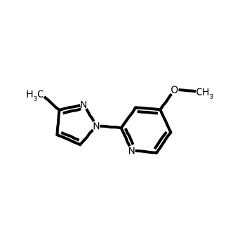 COc1ccnc(-n2ccc(C)n2)c1